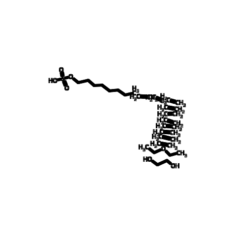 C=C.C=C.C=C.C=C.C=C.C=C.C=C.C=C.C=C.C=C.CCCCCCCCOS(=O)(=O)O.CCOCC.OCCO